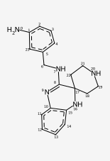 Nc1cccc(CNC2=Nc3ccccc3NC23CCNCC3)c1